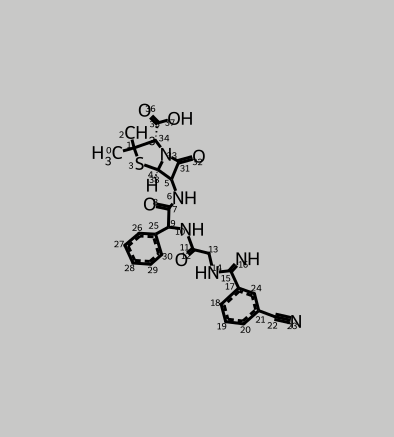 CC1(C)S[C@@H]2C(NC(=O)C(NC(=O)CNC(=N)c3cccc(C#N)c3)c3ccccc3)C(=O)N2[C@H]1C(=O)O